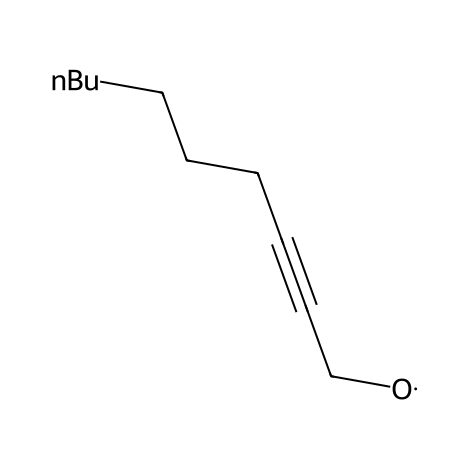 CCCCCCCC#CC[O]